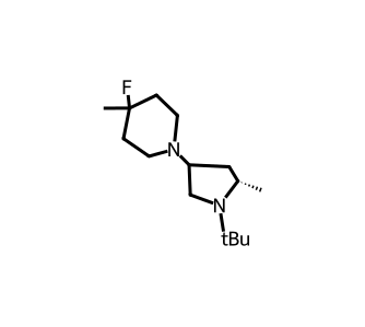 C[C@H]1CC(N2CCC(C)(F)CC2)CN1C(C)(C)C